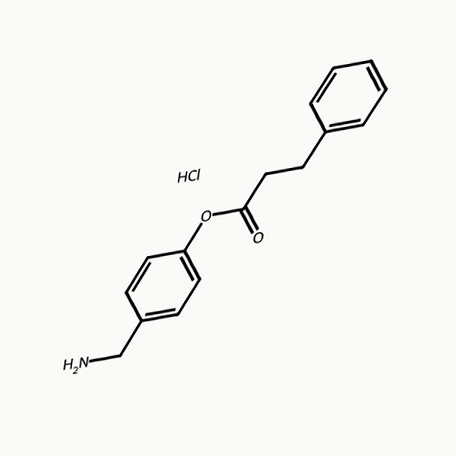 Cl.NCc1ccc(OC(=O)CCc2ccccc2)cc1